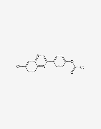 CCC(=O)Oc1ccc(-c2cnc3cc(Cl)ccc3n2)cc1